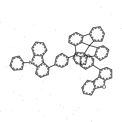 c1ccc(-n2c3ccccc3c3c(-c4ccc(N(c5ccc(-c6cccc7oc8ccccc8c67)cc5)c5cccc6c5C5(c7ccccc7-c7ccccc75)c5ccccc5-6)cc4)cccc32)cc1